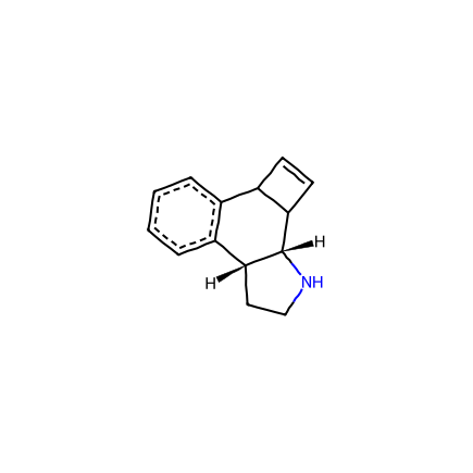 C1=CC2C1c1ccccc1[C@H]1CCN[C@@H]21